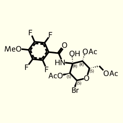 COc1c(F)c(F)c(C(=O)N[C@]2(O)[C@H](OC(C)=O)[C@H](Br)O[C@@H](COC(C)=O)[C@H]2OC(C)=O)c(F)c1F